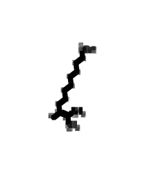 CCCCCCCCCCCCCCCCC(C)=C(N)N